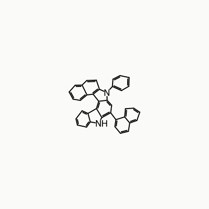 c1ccc(-n2c3ccc4ccccc4c3c3c4c([nH]c5ccccc54)c(-c4cccc5ccccc45)cc32)cc1